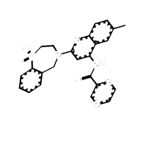 Cc1ccc2nc(N3CCS(=O)(=O)c4ccccc4C3)cc(NC(=O)c3cnccn3)c2c1